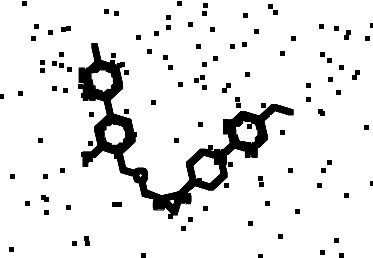 CCc1cnc(N2CCC([C@H]3C[C@H]3COCc3ccc(-c4ccc(C)nn4)cc3F)CC2)nc1